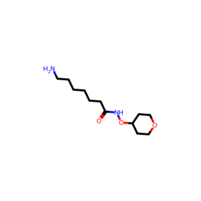 NCCCCCCC(=O)NOC1CCOCC1